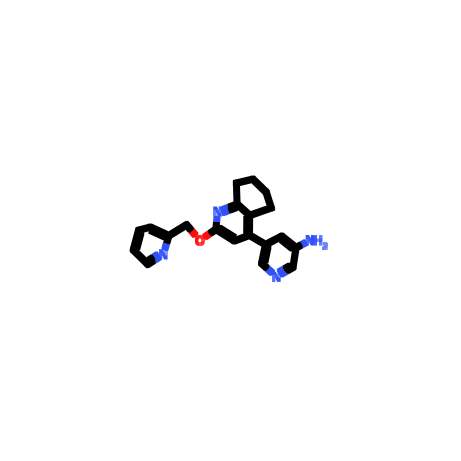 Nc1cncc(-c2cc(OCc3ccccn3)nc3c2CCCC3)c1